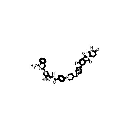 COc1ccccc1CC(=O)N1Cc2[nH]nc(NC(=O)c3ccc(N4CCC(CN5CC6CCC5CN6c5cc6c(cc5F)C(=O)N(C5CCC(=O)NC5=O)C6=O)CC4)cc3)c2C1